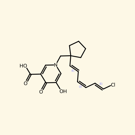 O=C(O)c1cn(CC2(/C=C/C=C\C=C\Cl)CCCC2)cc(O)c1=O